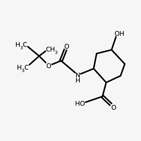 CC(C)(C)OC(=O)NC1CC(O)CCC1C(=O)O